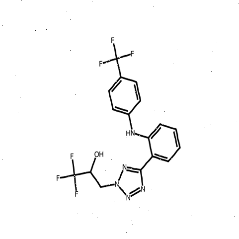 OC(Cn1nnc(-c2ccccc2Nc2ccc(C(F)(F)F)cc2)n1)C(F)(F)F